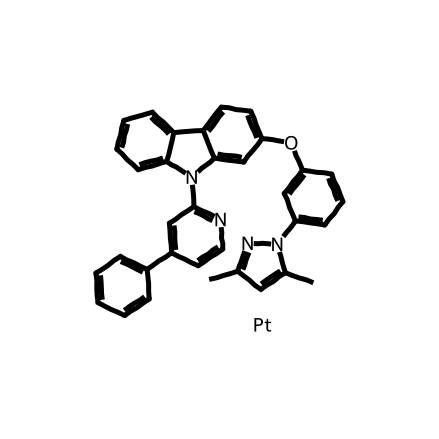 Cc1cc(C)n(-c2cccc(Oc3ccc4c5ccccc5n(-c5cc(-c6ccccc6)ccn5)c4c3)c2)n1.[Pt]